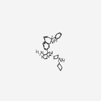 CC1(c2ccccc2)C=Cc2ccc(-c3nc([C@H]4C[C@@H](NC5CCC5)C4)n4ccnc(N)c34)cc2N1